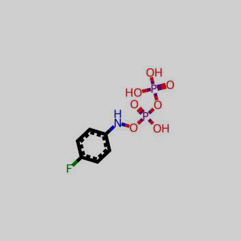 O=P(O)(O)OP(=O)(O)ONc1ccc(F)cc1